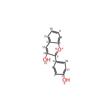 Oc1ccc(-c2[o+]c3ccccc3cc2O)cc1